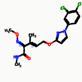 CNC(=O)C(=N/OC)/C(C)=C/COc1ccn(-c2ccc(Cl)c(Cl)c2)n1